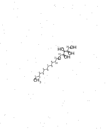 CCCCCCCCCCCCOCC(O)C(O)C(O)CO